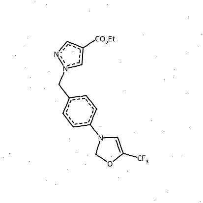 CCOC(=O)c1cnn(Cc2ccc(N3C=C(C(F)(F)F)OC3)cc2)c1